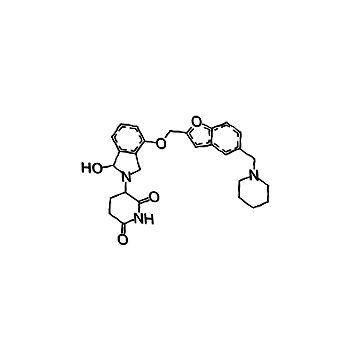 O=C1CCC(N2Cc3c(OCc4cc5cc(CN6CCCCC6)ccc5o4)cccc3C2O)C(=O)N1